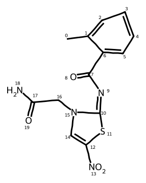 Cc1ccccc1C(=O)N=c1sc([N+](=O)[O-])cn1CC(N)=O